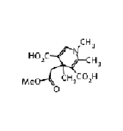 COC(=O)CC1(C)C(C(=O)O)=CN(C)C(C)=C1C(=O)O